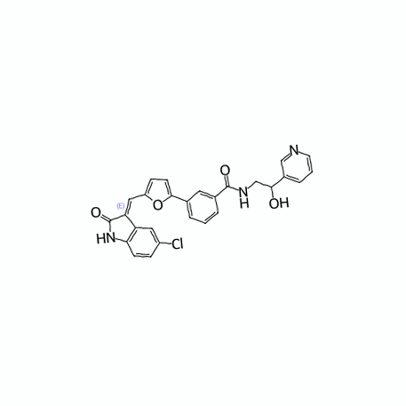 O=C1Nc2ccc(Cl)cc2/C1=C\c1ccc(-c2cccc(C(=O)NCC(O)c3cccnc3)c2)o1